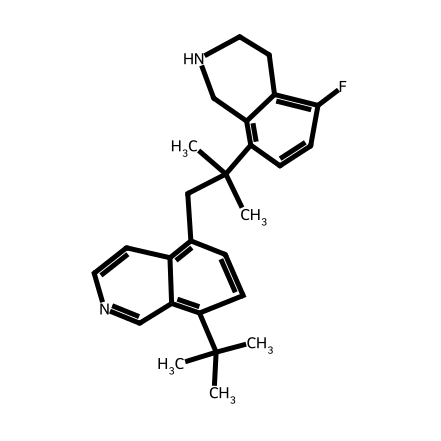 CC(C)(C)c1ccc(CC(C)(C)c2ccc(F)c3c2CNCC3)c2ccncc12